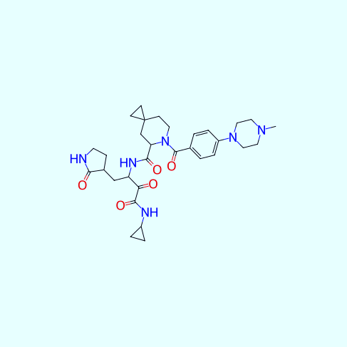 CN1CCN(c2ccc(C(=O)N3CCC4(CC4)CC3C(=O)NC(CC3CCNC3=O)C(=O)C(=O)NC3CC3)cc2)CC1